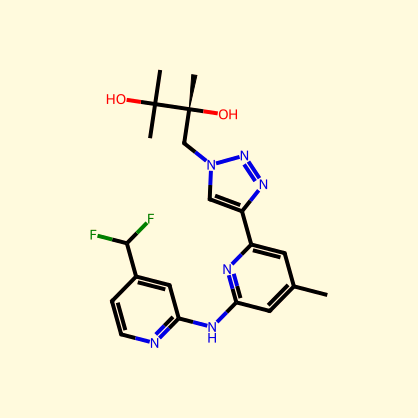 Cc1cc(Nc2cc(C(F)F)ccn2)nc(-c2cn(C[C@@](C)(O)C(C)(C)O)nn2)c1